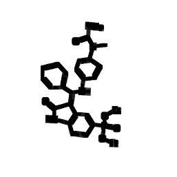 CCOP(=O)(OCC)c1ccc2c(c1)C(=C(Nc1ccc(N(C)C(=O)NC)cc1)c1ccccc1)C(=O)N2